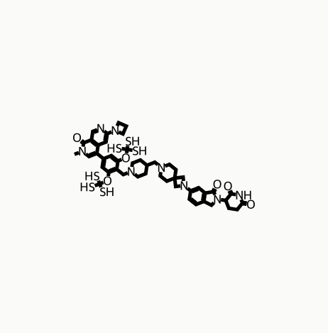 Cn1cc(-c2cc(OC(S)(S)S)c(CN3CCC(CN4CCC5(CC4)CN(c4ccc6c(c4)C(=O)N(C4CCC(=O)NC4=O)C6)C5)CC3)c(OC(S)(S)S)c2)c2cc(N3CCC3)ncc2c1=O